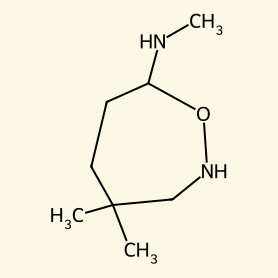 CNC1CCC(C)(C)CNO1